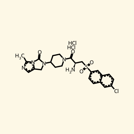 Cc1ncc2n1C(=O)N(C1CCN(C(=O)[C@H](N)CS(=O)(=O)c3ccc4cc(Cl)ccc4c3)CC1)C2.Cl.Cl